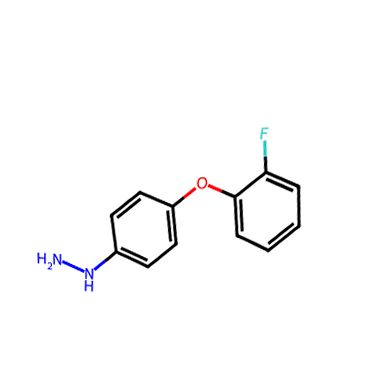 NNc1ccc(Oc2ccccc2F)cc1